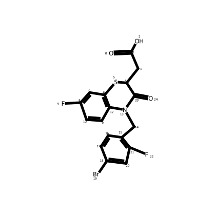 O=C(O)CC1Sc2cc(F)ccc2N(Cc2ccc(Br)cc2F)C1=O